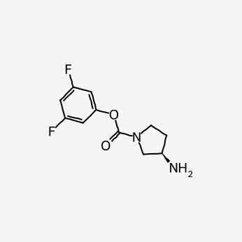 N[C@@H]1CCN(C(=O)Oc2cc(F)cc(F)c2)C1